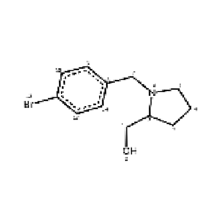 OCC1CCCN1Cc1ccc(Br)cc1